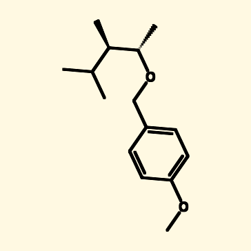 COc1ccc(CO[C@@H](C)[C@H](C)C(C)C)cc1